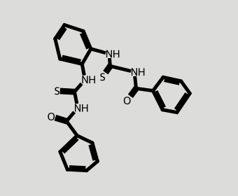 O=C(NC(=S)Nc1ccccc1NC(=S)NC(=O)c1ccccc1)c1ccccc1